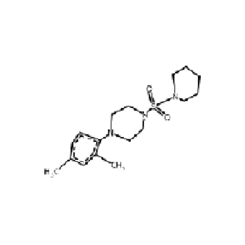 Cc1ccc(N2CCN(S(=O)(=O)N3CCCCC3)CC2)c(C)c1